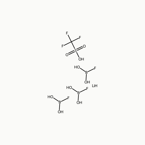 O=S(=O)(O)C(F)(F)F.OB(O)F.OB(O)F.OB(O)F.[LiH]